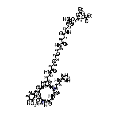 CCC(=O)OC[C@H](COP(=O)(O)OCCNC(=O)CCC(=O)NCCOCCOCCC(=O)NCCCC[C@@H]1NC(=O)[C@@H](Cc2ccccc2)NC(=O)/C(=C\C(=O)O)NC(=O)CNC(=O)/C(=C/CCNC(=N)N)NC1=O)OC(=O)CC